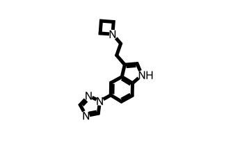 c1ncn(-c2ccc3[nH]cc(CCN4CCC4)c3c2)n1